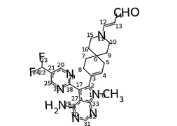 Cn1c(C2=CCC3(CC2)CCN(C=CC=O)CC3)c(-c2ncc(C(F)F)cn2)c2c(N)ncnc21